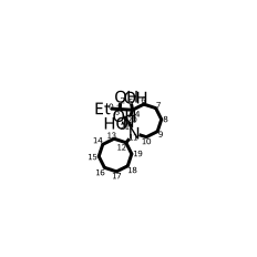 CCC(O)(O)C1(O)CCCCCN(C2CCCCCCC2)N1O